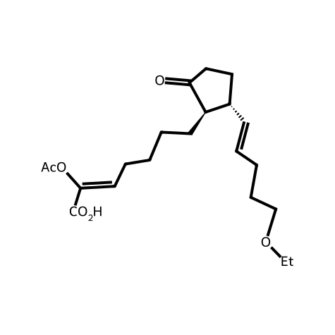 CCOCCC/C=C/[C@H]1CCC(=O)[C@@H]1CCCC/C=C(\OC(C)=O)C(=O)O